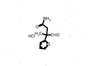 CC(C=O)(CC(N)=O)c1cccs1.Cl